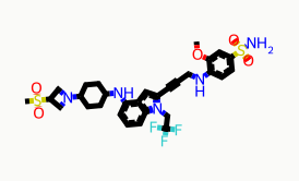 COc1cc(S(N)(=O)=O)ccc1NCC#Cc1cc2c(NC3CCC(N4CC(S(C)(=O)=O)C4)CC3)cccc2n1CC(F)(F)F